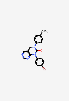 COc1ccc(N2Cc3cn[c]nc3N(c3ccc(Br)cc3)C2=O)cc1